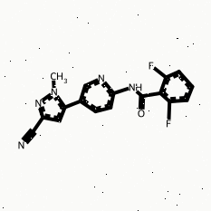 Cn1nc(C#N)cc1-c1ccc(NC(=O)c2c(F)cccc2F)nc1